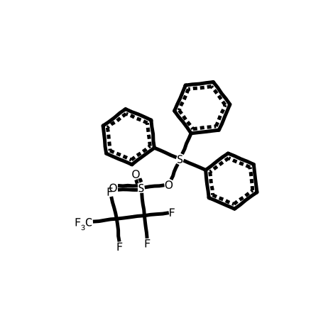 O=S(=O)(OS(c1ccccc1)(c1ccccc1)c1ccccc1)C(F)(F)C(F)(F)C(F)(F)F